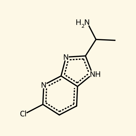 CC(N)c1nc2nc(Cl)ccc2[nH]1